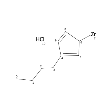 CCCCC1=C[CH]([Zr])C=C1.Cl